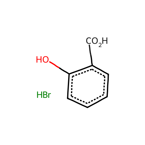 Br.O=C(O)c1ccccc1O